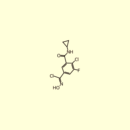 O=C(NC1CC1)c1cc(/C(Cl)=N/O)cc(F)c1Cl